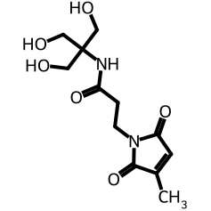 CC1=CC(=O)N(CCC(=O)NC(CO)(CO)CO)C1=O